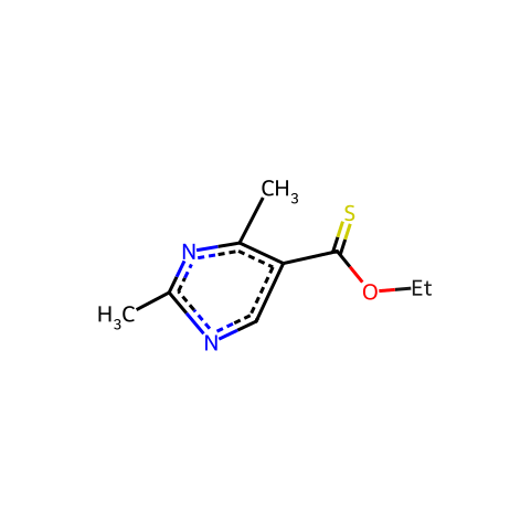 CCOC(=S)c1cnc(C)nc1C